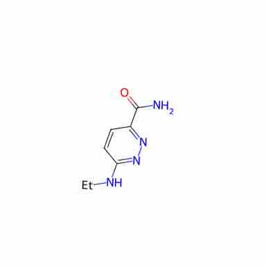 CCNc1ccc(C(N)=O)nn1